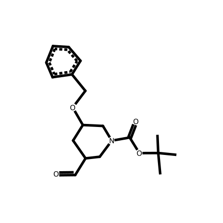 CC(C)(C)OC(=O)N1CC(C=O)CC(OCc2ccccc2)C1